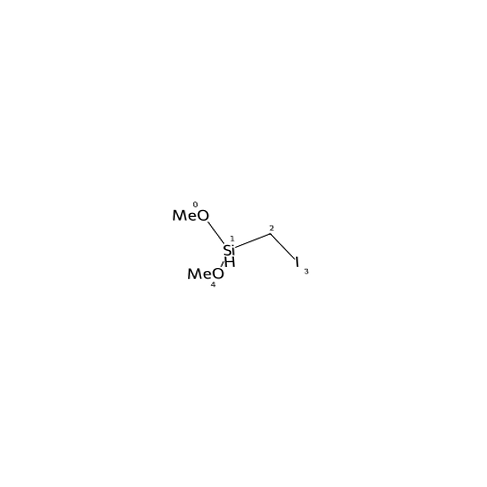 CO[SiH](CI)OC